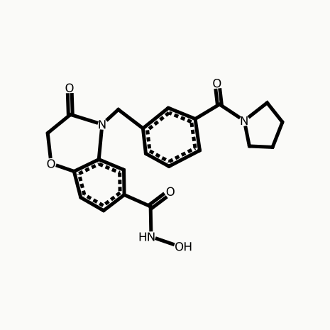 O=C(NO)c1ccc2c(c1)N(Cc1cccc(C(=O)N3CCCC3)c1)C(=O)CO2